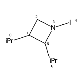 CC(C)C1CN(I)C1C(C)C